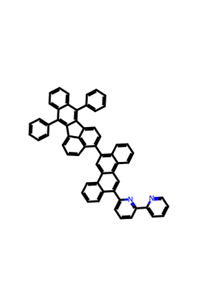 c1ccc(-c2c3c(c(-c4ccccc4)c4ccccc24)-c2ccc(-c4cc5c6ccccc6c(-c6cccc(-c7ccccn7)n6)cc5c5ccccc45)c4cccc-3c24)cc1